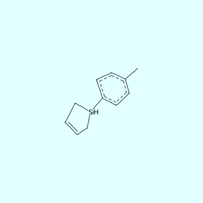 Cc1ccc([SiH]2CC=CC2)cc1